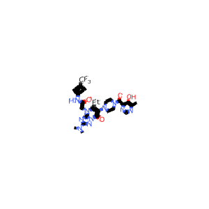 CCc1c(N2CCN(C(=O)c3ncnc(C)c3O)CC2)c(=O)n2nc(N(C)C)nc2n1CC(=O)NC12CC(C(F)(F)F)(C1)C2